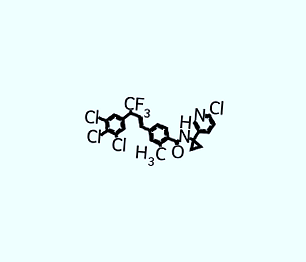 Cc1cc(/C=C/C(c2cc(Cl)c(Cl)c(Cl)c2)C(F)(F)F)ccc1C(=O)NC1(c2ccc(Cl)nc2)CC1